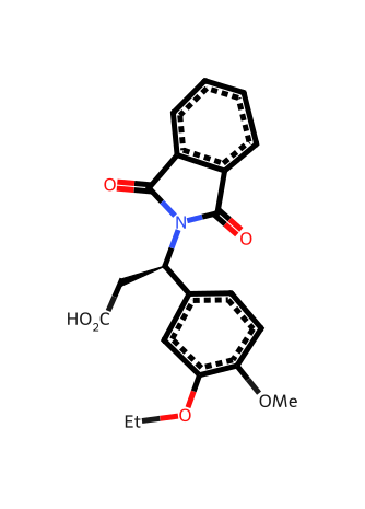 CCOc1cc([C@@H](CC(=O)O)N2C(=O)c3ccccc3C2=O)ccc1OC